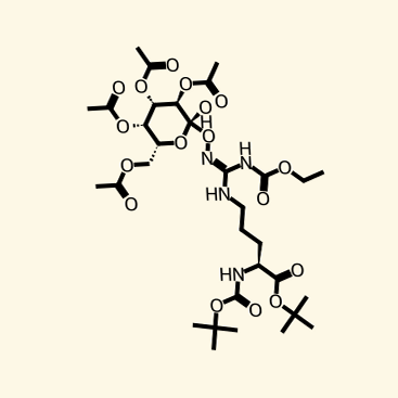 CCOC(=O)NC(=NO[C@]1(O)O[C@H](COC(C)=O)[C@H](OC(C)=O)[C@H](OC(C)=O)[C@H]1OC(C)=O)NCCC[C@H](NC(=O)OC(C)(C)C)C(=O)OC(C)(C)C